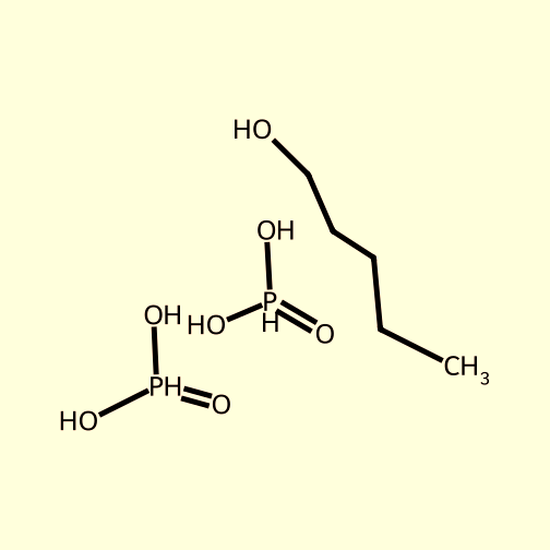 CCCCCO.O=[PH](O)O.O=[PH](O)O